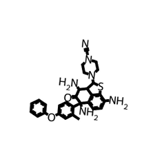 Cc1cc(Oc2ccccc2)ccc1C1(N)C(=O)C(N)C2c3c1ccc(N)c3SC2N1CCN(C#N)CC1